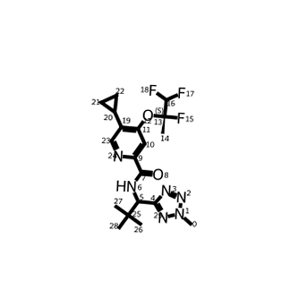 Cn1nnc(C(NC(=O)c2cc(O[C@@](C)(F)C(F)F)c(C3CC3)cn2)C(C)(C)C)n1